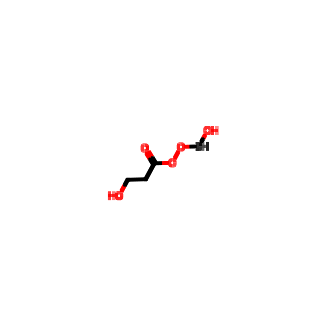 O=C(CCO)OOBO